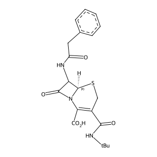 CC(C)(C)NC(=O)C1=C(C(=O)O)N2C(=O)C(NC(=O)Cc3ccccc3)[C@H]2SC1